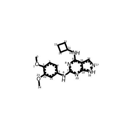 COc1ccc(Nc2nc(NC3CCC3)c3cn[nH]c3n2)cc1OC